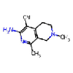 Cc1nc(N)c(C#N)c2c1CN(C)CC2